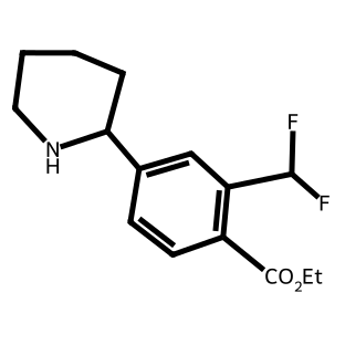 CCOC(=O)c1ccc(C2CCCCN2)cc1C(F)F